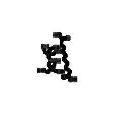 O=C(O)CCCCCCCCC(=O)O.OCC(CO)(CO)COCC(CO)(CO)CO